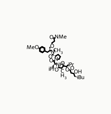 CC[C@H](C)C[C@@H](O)CC(=O)OC(C(=O)[C@H](C)C(=O)N[C@@H](CC(C)C)C(=O)N1CCC[C@H]1C(=O)N(C)[C@H](COCCC(=O)NC)Cc1ccc(OC)cc1)C(C)C